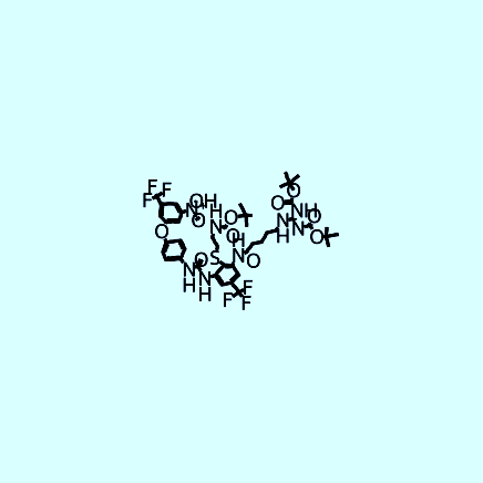 CC(C)(C)OC(=O)N=C(NCCCCC(=O)Nc1cc(C(F)(F)F)cc(NC(=O)Nc2ccc(Oc3cc([N+](=O)O)cc(C(F)(F)F)c3)cc2)c1SCCNC(=O)OC(C)(C)C)NC(=O)OC(C)(C)C